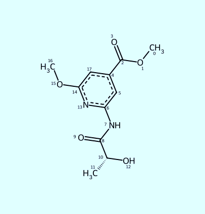 COC(=O)c1cc(NC(=O)[C@@H](C)O)nc(OC)c1